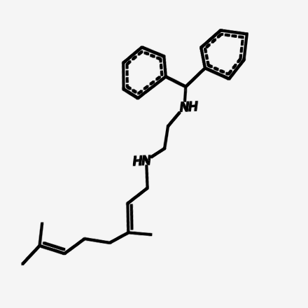 CC(C)=CCC/C(C)=C/CNCCNC(c1ccccc1)c1ccccc1